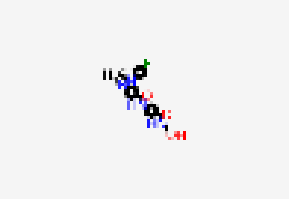 Cc1nc2ccc(C(=O)Nc3ccc(C(=O)NCCO)cc3)cc2n1-c1ccc(F)cc1